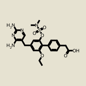 CCOc1cc(Cc2cnc(N)nc2N)cc(OS(=O)(=O)N(C)C)c1-c1ccc(CC(=O)O)cc1